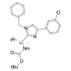 CC(C)[C@@H](NC(=O)OC(C)(C)C)c1nc(-c2cccc(Cl)c2)cn1Cc1ccccc1